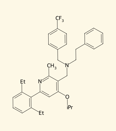 CCc1cccc(CC)c1-c1cc(OC(C)C)c(CN(CCc2ccccc2)Cc2ccc(C(F)(F)F)cc2)c(C)n1